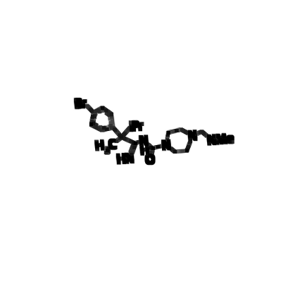 CNCN1CCN(C(=O)NC(=N)C(C)(c2ccc(Br)cc2)C(C)C)CC1